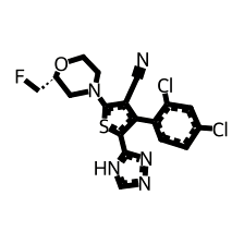 N#Cc1c(N2CCO[C@@H](CF)C2)sc(-c2nnc[nH]2)c1-c1ccc(Cl)cc1Cl